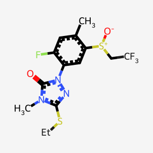 CCSc1nn(-c2cc([S+]([O-])CC(F)(F)F)c(C)cc2F)c(=O)n1C